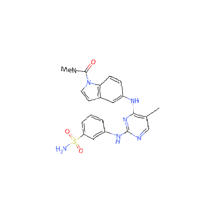 CNC(=O)n1ccc2cc(Nc3nc(Nc4cccc(S(N)(=O)=O)c4)ncc3C)ccc21